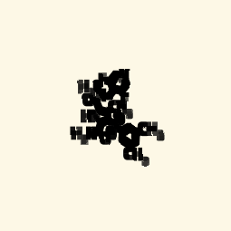 Cc1cc(C)cc(S(=O)(=O)c2c(C(N)=O)[nH]c(C(=O)N(C)Cc3c(F)cncc3F)c2C)c1